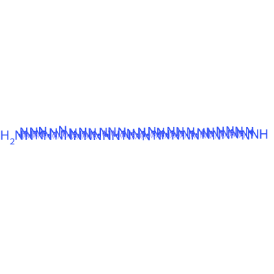 N=N/N=N/N=N/N=N/N=N/N=N/N=N/N=N/N=N/N=N/N=N/N=N/N=N/N=N/N=N/N=N/N=N/N=N/N=N/N=N/N=N/N=N/N=N/N=N/N